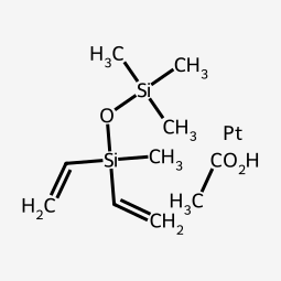 C=C[Si](C)(C=C)O[Si](C)(C)C.CC(=O)O.[Pt]